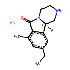 CCc1cc(C)c2c(c1)[C@@H]1CNCCN1C2=O.Cl